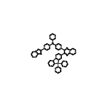 c1ccc(N(c2ccc(-c3cn4ccccc4n3)cc2)c2ccc(-c3nc4ccccc4nc3-c3ccc4c(c3)C(c3ccccc3)(c3ccccc3)c3ccccc3-4)cc2)cc1